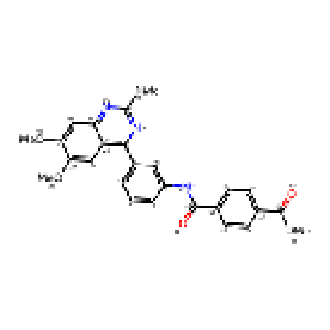 CNc1nc(-c2cccc(NC(=O)c3ccc(C(=O)OC)cc3)c2)c2cc(OC)c(OC)cc2n1